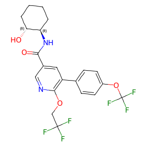 O=C(N[C@@H]1CCCC[C@H]1O)c1cnc(OCC(F)(F)F)c(-c2ccc(OC(F)(F)F)cc2)c1